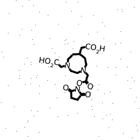 O=C(O)CC1CCN(CC(=O)O)CCN(CC(=O)ON2C(=O)CCC2=O)CC1